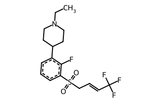 CCN1CCC(c2cccc(S(=O)(=O)CC=CC(F)(F)F)c2F)CC1